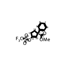 COC(=O)[C@@]1(c2ccccc2)C=C(OS(=O)(=O)C(F)(F)F)CC1